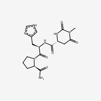 CN1C(=O)C[C@H](C(=O)N[C@H](Cc2c[nH]cn2)C(=O)N2CCC[C@@H]2C(N)=O)NC1=O